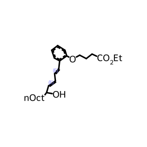 CCCCCCCCC(O)/C=C/C=C/c1ccccc1OCCCC(=O)OCC